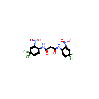 O=C(CC(=O)NC1C=CC(Cl)(Cl)C=C1[N+](=O)[O-])NC1C=CC(Cl)(Cl)C=C1[N+](=O)[O-]